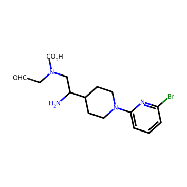 NC(CN(CC=O)C(=O)O)C1CCN(c2cccc(Br)n2)CC1